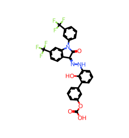 O=C(O)Oc1cccc(-c2cccc(NN=C3C(=O)N(c4cccc(C(F)(F)F)c4)c4cc(C(F)(F)F)ccc43)c2O)c1